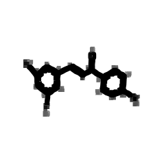 O=C(/C=C/c1cc(F)cc(F)c1)c1ccc(Br)cc1